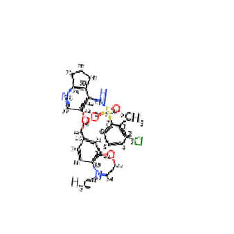 Cc1c(Cl)cccc1S(=O)(=O)Nc1c(OCc2ccc3c(c2)OCCN3C)cnc2c1CCC2